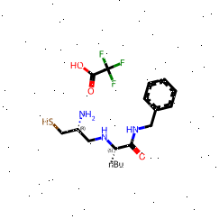 CCCC[C@H](NC[C@@H](N)CS)C(=O)NCc1ccccc1.O=C(O)C(F)(F)F